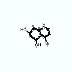 Oc1cc(O)c2c(Br)ccnc2c1